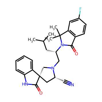 CC(C)C[C@@H](CN1C[C@]2(C[C@H]1C#N)C(=O)Nc1ccccc12)N1C(=O)c2ccc(F)cc2C1(C)C